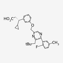 Cc1ccc(F)c(-c2ncc(COc3cccc([C@@H](CC(=O)O)C4CC4)c3)nc2CC(C)(C)C)c1